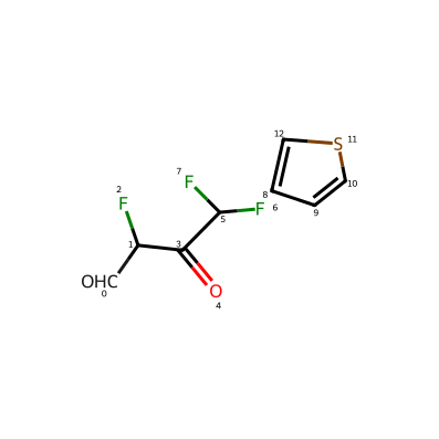 O=CC(F)C(=O)C(F)F.c1ccsc1